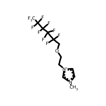 Cn1cc[n+](CCOCC(F)(F)C(F)(F)C(F)(F)C(F)(F)C(F)(F)F)c1